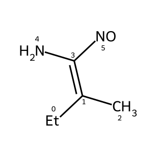 CCC(C)=C(N)N=O